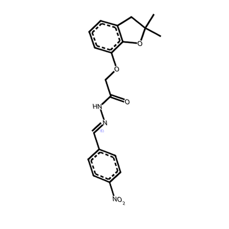 CC1(C)Cc2cccc(OCC(=O)N/N=C/c3ccc([N+](=O)[O-])cc3)c2O1